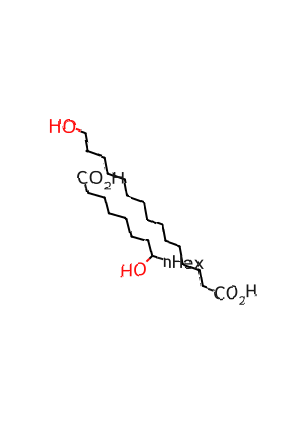 CCCCCCC(O)CCCCCCC(=O)O.O=C(O)CCCCCCCCCCCCCCO